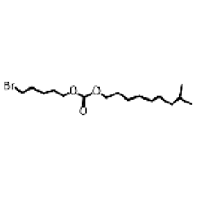 CC(C)CCCCCCCOC(=O)OCCCCCBr